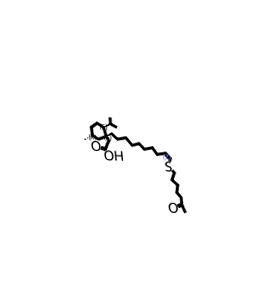 CC(=O)CCCCCS/C=C\CCCCCCCC[C@@]1(CC(=O)O)C[C@H](C)CC[C@H]1C(C)C